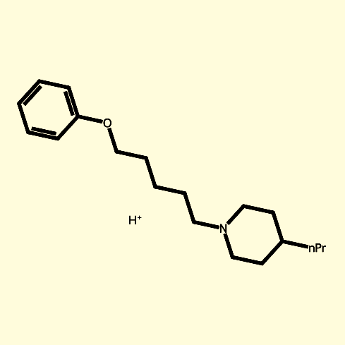 CCCC1CCN(CCCCCOc2ccccc2)CC1.[H+]